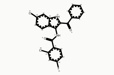 O=C(Nc1c(C(=O)c2ccccc2)[nH]c2cc(Cl)ccc12)c1ccc(F)cc1Cl